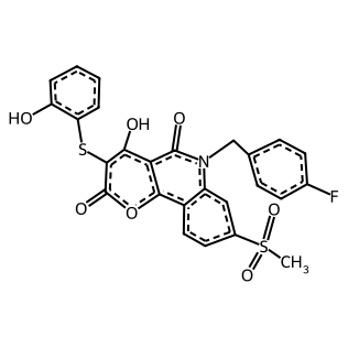 CS(=O)(=O)c1ccc2c3oc(=O)c(Sc4ccccc4O)c(O)c3c(=O)n(Cc3ccc(F)cc3)c2c1